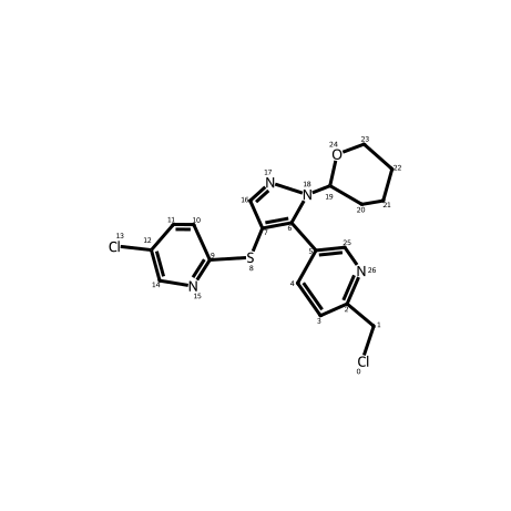 ClCc1ccc(-c2c(Sc3ccc(Cl)cn3)cnn2C2CCCCO2)cn1